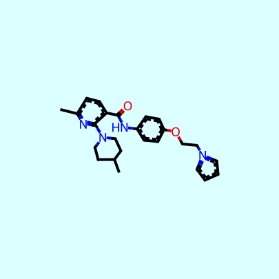 Cc1ccc(C(=O)Nc2ccc(OCCn3cccc3)cc2)c(N2CCC(C)CC2)n1